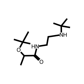 CC(OC(C)(C)C)C(=O)NCCNC(C)(C)C